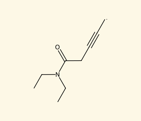 [CH2]C#CCC(=O)N(CC)CC